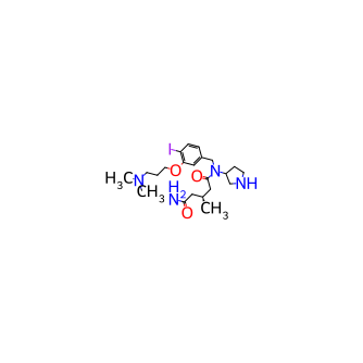 C[C@@H](CC(N)=O)CC(=O)N(Cc1ccc(I)c(OCCCN(C)C)c1)C1CCNC1